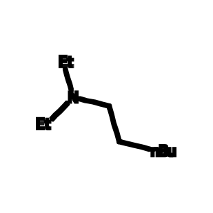 CCCCCCN(CC)CC